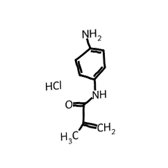 C=C(C)C(=O)Nc1ccc(N)cc1.Cl